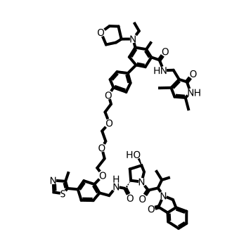 CCN(c1cc(-c2ccc(OCCOCCOCCOc3cc(-c4scnc4C)ccc3CNC(=O)[C@@H]3C[C@@H](O)CN3C(=O)C(C(C)C)N3Cc4ccccc4C3=O)cc2)cc(C(=O)NCc2c(C)cc(C)[nH]c2=O)c1C)C1CCOCC1